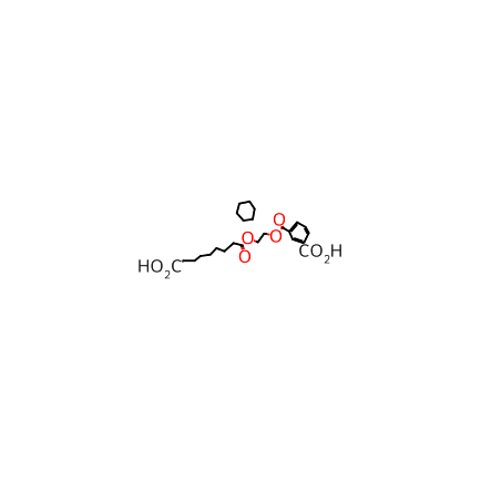 C1CCCCC1.O=C(O)CCCCCCCC(=O)OCCOC(=O)c1cccc(C(=O)O)c1